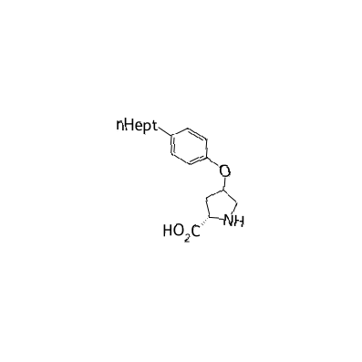 CCCCCCCc1ccc(OC2CN[C@H](C(=O)O)C2)cc1